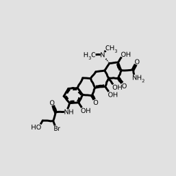 CN(C)[C@@H]1C(O)=C(C(N)=O)C(=O)C2(O)C(O)=C3C(=O)c4c(ccc(NC(=O)C(Br)CO)c4O)CC3CC12